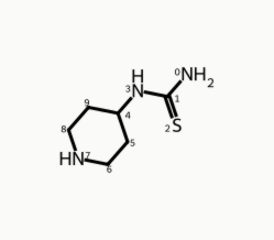 NC(=S)NC1CCNCC1